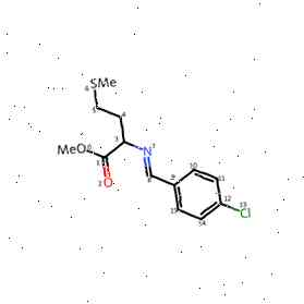 COC(=O)C(CCSC)/N=C/c1ccc(Cl)cc1